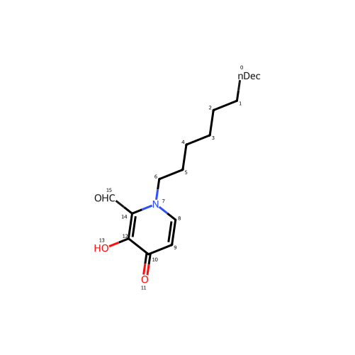 CCCCCCCCCCCCCCCCn1ccc(=O)c(O)c1C=O